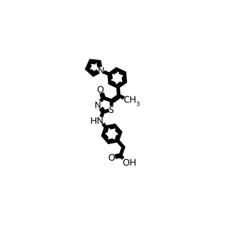 CC(=C1SC(Nc2ccc(CC(=O)O)cc2)=NC1=O)c1cccc(-n2cccc2)c1